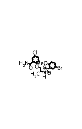 COc1ccc(Br)cc1S(=O)(=O)N[C@@H](C)COc1ccc(Cl)cc1C(N)=O